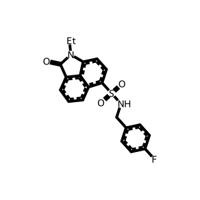 CCN1C(=O)c2cccc3c(S(=O)(=O)NCc4ccc(F)cc4)ccc1c23